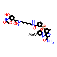 COc1cccc(Nc2c(C(N)=O)cnc3c(C)cc(S(=O)(=O)c4cccc(C(=O)NCCCCCCNCC(O)c5ccc(O)c6c5OCC(=O)N6)c4)cc23)c1